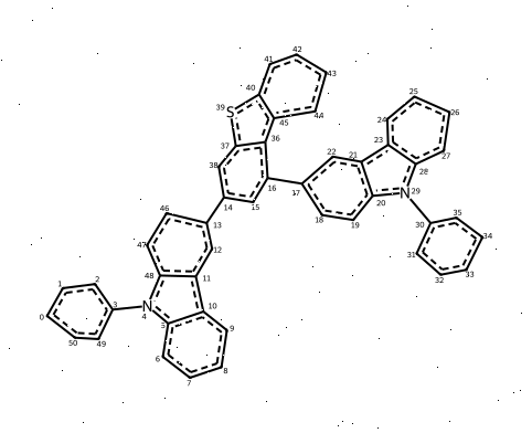 c1ccc(-n2c3ccccc3c3cc(-c4cc(-c5ccc6c(c5)c5ccccc5n6-c5ccccc5)c5c(c4)sc4ccccc45)ccc32)cc1